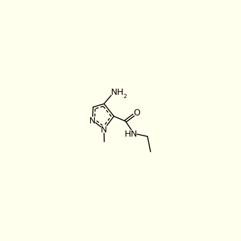 CCNC(=O)c1c(N)cnn1C